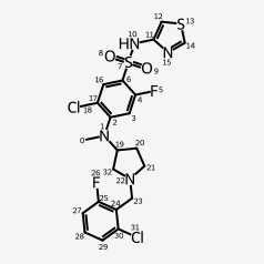 CN(c1cc(F)c(S(=O)(=O)Nc2cscn2)cc1Cl)C1CCN(Cc2c(F)cccc2Cl)C1